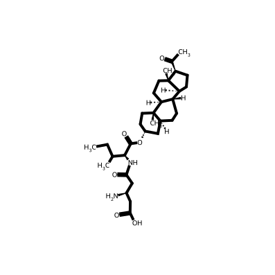 CCC(C)[C@H](NC(=O)C[C@H](N)CC(=O)O)C(=O)O[C@@H]1CC[C@@]2(C)[C@@H](CC[C@@H]3[C@@H]2CC[C@]2(C)[C@@H](C(C)=O)CC[C@@H]32)C1